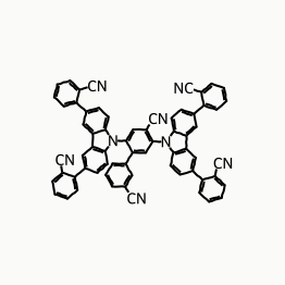 N#Cc1cccc(-c2cc(-n3c4ccc(-c5ccccc5C#N)cc4c4cc(-c5ccccc5C#N)ccc43)c(C#N)cc2-n2c3ccc(-c4ccccc4C#N)cc3c3cc(-c4ccccc4C#N)ccc32)c1